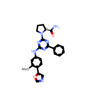 COc1cc(Nc2nc(-c3ccccc3)nc(N3CCC[C@H]3C(N)=O)n2)ccc1-c1cnco1